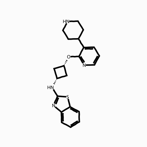 c1cnc(O[C@H]2C[C@@H](Nc3nc4ccccc4s3)C2)c(C2CCNCC2)c1